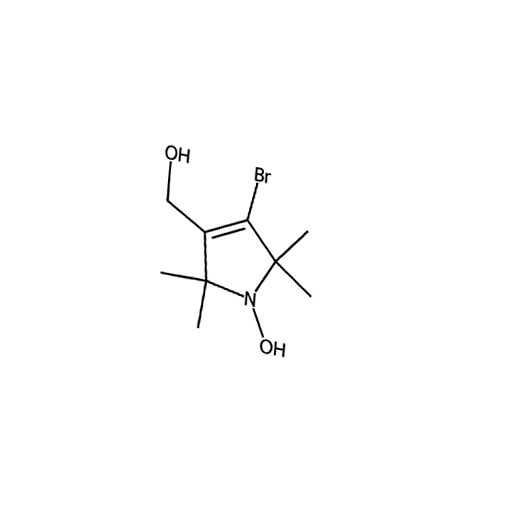 CC1(C)C(Br)=C(CO)C(C)(C)N1O